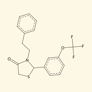 O=C1CSC(c2cccc(OC(F)(F)F)c2)N1CCc1ccccc1